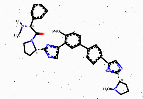 COc1ccc(-c2ccc(-c3cnc([C@@H]4CCCN4C)[nH]3)cc2)cc1-c1cnc([C@@H]2CCCN2C(=O)[C@@H](c2ccccc2)N(C)C)[nH]1